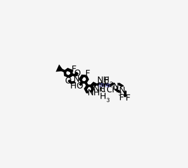 C/C(CN1CCN(CC(F)F)CC1)=C(F)\C(C)=C(/N)c1cc2c([nH]1)NCC=C2C1CC(F)C=C(N2CCOC3=C(C2=O)C(F)=CC(C2CC2)C3)C1O